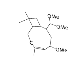 COC1C=C(C)CCC2C(CC2(C)C)C(C(OC)OC)C1